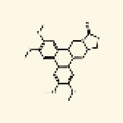 COc1cc2c(cc1OC)-c1cc(OC)c(OC)cc1C1CN3C(=O)CCC3C=C21